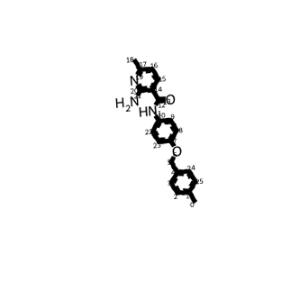 Cc1ccc(COc2ccc(NC(=O)c3ccc(C)nc3N)cc2)cc1